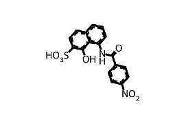 O=C(Nc1cccc2ccc(S(=O)(=O)O)c(O)c12)c1ccc([N+](=O)[O-])cc1